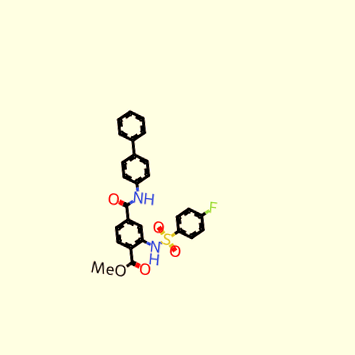 COC(=O)c1ccc(C(=O)Nc2ccc(-c3ccccc3)cc2)cc1NS(=O)(=O)c1ccc(F)cc1